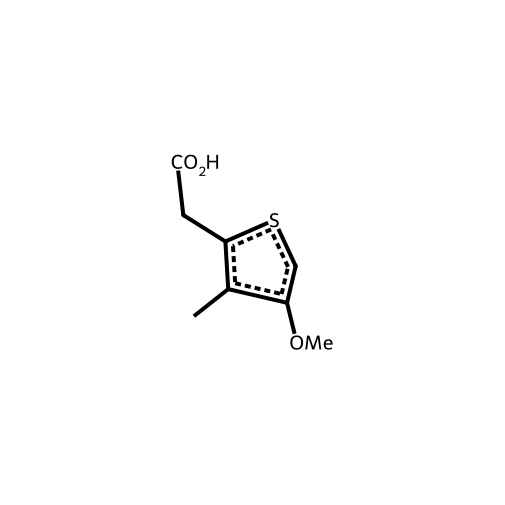 COc1csc(CC(=O)O)c1C